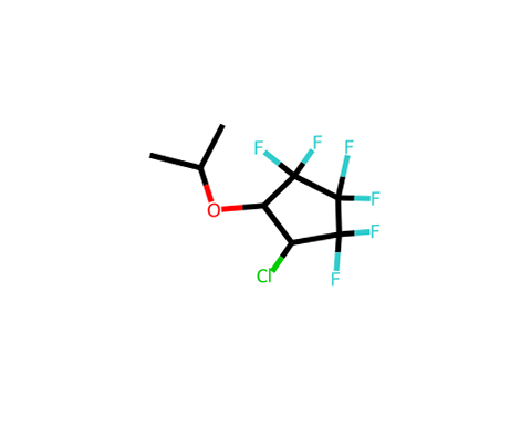 CC(C)OC1C(Cl)C(F)(F)C(F)(F)C1(F)F